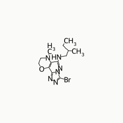 CCC(C)CNc1nn2c(Br)nnc2c2c1N(C)CCO2